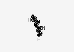 CN(C)Cc1cc(CN2CCN([C@H]3C[C@](CC#N)(n4cc(-c5ncnc6[nH]ccc56)cn4)C3)CC2)cc(C(O)C(=O)c2ccccc2)c1